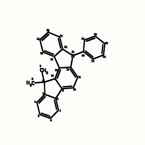 CC1(C)c2ccccc2-c2ccc3c(c21)c1ccccc1n3-c1ccccc1